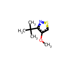 COc1csnc1C(C)(C)C